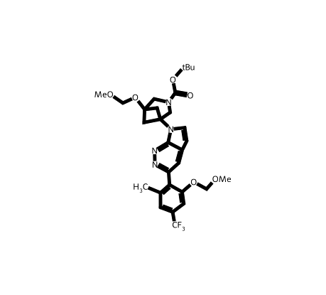 COCOc1cc(C(F)(F)F)cc(C)c1-c1cc2ccn(C34CN(C(=O)OC(C)(C)C)CC(OCOC)(C3)C4)c2nn1